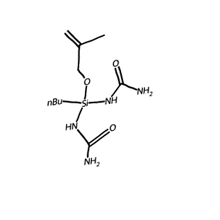 C=C(C)CO[Si](CCCC)(NC(N)=O)NC(N)=O